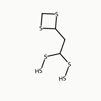 SSC(CC1SCS1)SS